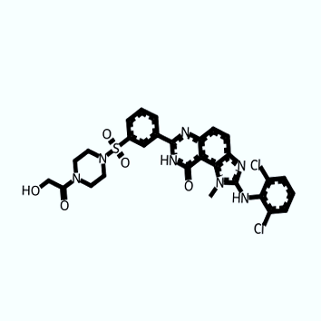 Cn1c(Nc2c(Cl)cccc2Cl)nc2ccc3nc(-c4cccc(S(=O)(=O)N5CCN(C(=O)CO)CC5)c4)[nH]c(=O)c3c21